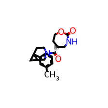 Cc1cccc(C23CCN(C(=O)[C@@H]4CCOC(=O)NC4)CC2C3)c1